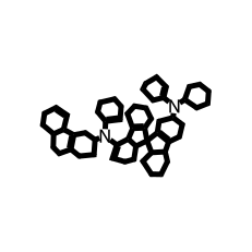 C1=CC2C3=C(CCC2CC1)CCC(N(C1=CCCCC1)C1=CCCC2C1C1=C(CCCC1)C21C2=C(CCC(N(C4=CCCCC4)C4CCCCC4)C2)C2CCCCC21)C3